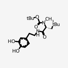 CN(C(=O)OC(C)(C)C)[C@H](CC(C)(C)C)C(=O)NCCc1ccc(O)c(O)c1